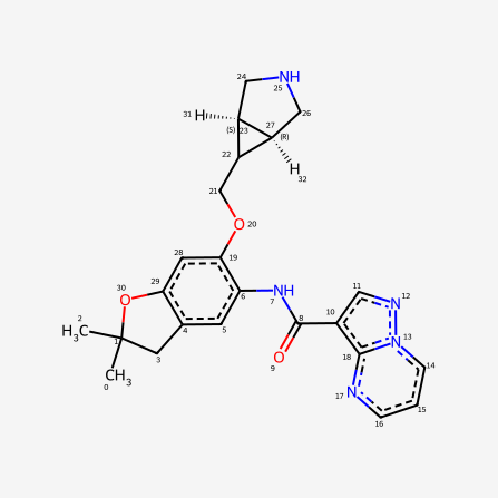 CC1(C)Cc2cc(NC(=O)c3cnn4cccnc34)c(OCC3[C@H]4CNC[C@@H]34)cc2O1